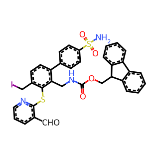 NS(=O)(=O)c1ccc(-c2ccc(CI)c(Sc3ncccc3C=O)c2CNC(=O)OCC2c3ccccc3-c3ccccc32)cc1